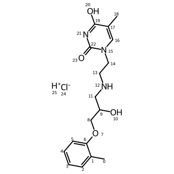 Cc1ccccc1OCC(O)CNCCn1cc(C)c(O)nc1=O.[Cl-].[H+]